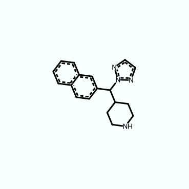 c1ccc2cc(C(C3CCNCC3)n3nccn3)ccc2c1